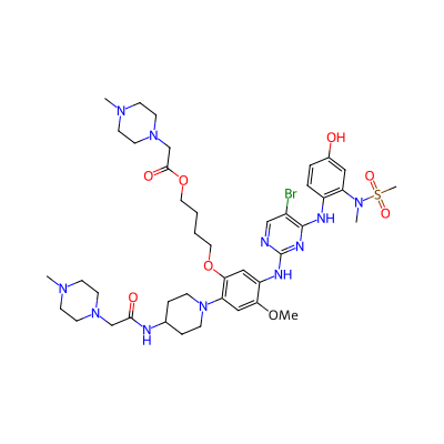 COc1cc(N2CCC(NC(=O)CN3CCN(C)CC3)CC2)c(OCCCCOC(=O)CN2CCN(C)CC2)cc1Nc1ncc(Br)c(Nc2ccc(O)cc2N(C)S(C)(=O)=O)n1